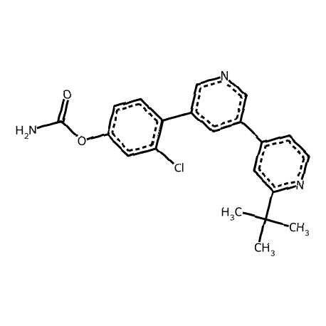 CC(C)(C)c1cc(-c2cncc(-c3ccc(OC(N)=O)cc3Cl)c2)ccn1